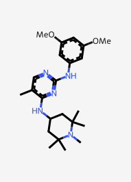 COc1cc(Nc2ncc(C)c(NC3CC(C)(C)N(C)C(C)(C)C3)n2)cc(OC)c1